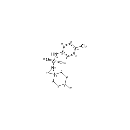 CC1CCC2(CC1)CN2S(=O)(=O)Nc1ccc(Cl)cc1